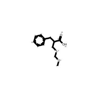 COCSCC(Cc1ccccc1)C(=O)O